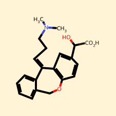 CN(C)CC/C=C1/c2ccccc2COc2ccc(C(O)C(=O)O)cc21